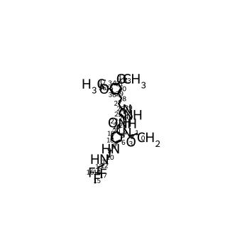 C=CC(=O)Nc1cc(NCCNCCC(F)(F)F)ccc1C(=O)Nc1cc(CCc2cc(OC)cc(OC)c2)n[nH]1